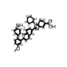 COc1ccc(-c2ccc(N)cc2)c(-c2ccc3cc(-c4nc5cc(C(=O)O)ccc5n4C4CCCCC4)ccc3n2)c1